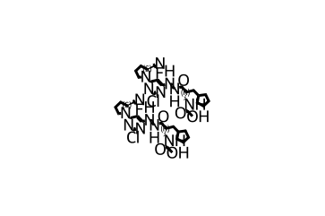 N#C[C@@H]1CCCN1c1nc(Cl)nc(NNC(=O)[C@@H](CNC(=O)O)CC2CCCC2)c1F.N#C[C@@H]1CCCN1c1nc(Cl)nc(NNC(=O)[C@@H](CNC(=O)O)CC2CCCC2)c1F